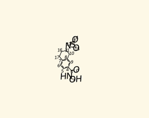 O=C(NO)c1ccc2c(c1)CC(N=S(=O)=O)CC2